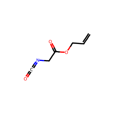 C=CCOC(=O)CN=C=O